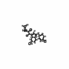 Cc1c(C(=O)C(=O)NC2CC2)c2cc(Cl)ccc2n1Cc1ccc(Cl)cc1